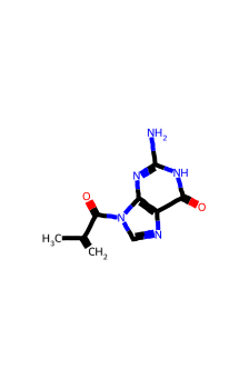 C=C(C)C(=O)n1cnc2c(=O)[nH]c(N)nc21